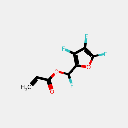 C=CC(=O)OC(F)c1oc(F)c(F)c1F